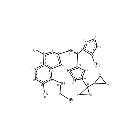 Cc1ncsc1[C@H](Nc1cc(Cl)c2ncc(C#N)c(NCC(C)(C)C)c2c1)c1cn(C2(C3CC3)CC2)nn1